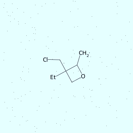 [CH2]C1OCC1(CC)CCl